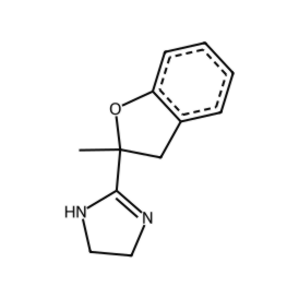 CC1(C2=NCCN2)Cc2ccccc2O1